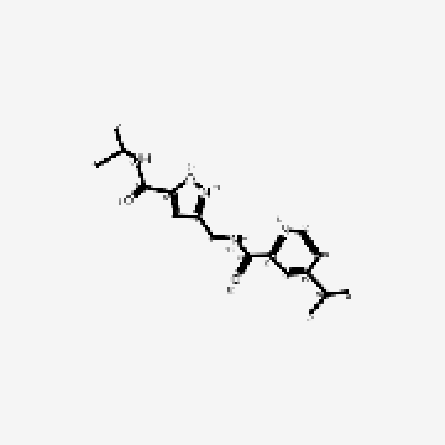 CC(C)NC(=O)c1cc(CNC(=O)c2cc(C(C)C)ccn2)no1